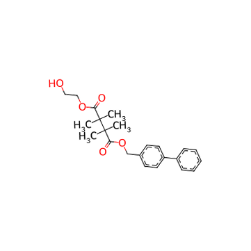 CC(C)(C(=O)OCCO)C(C)(C)C(=O)OCc1ccc(-c2ccccc2)cc1